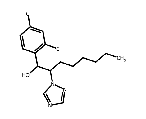 CCCCCCC(C(O)c1ccc(Cl)cc1Cl)n1cncn1